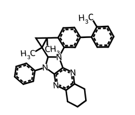 Cc1ccccc1-c1ccc2c(c1)N1c3nc4c(nc3N(c3ccccc3)C1C1(C)CC21C)CCCC4